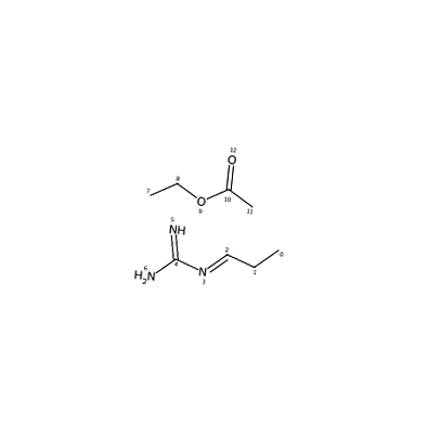 CCC=NC(=N)N.CCOC(C)=O